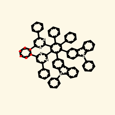 c1ccc(-c2cc(-c3ccccc3)nc(-c3c(-c4ccccc4)c(-c4ccccc4)c(-c4ccc5c(c4)c4ccccc4n5-c4ccccc4)c(-c4ccc5c(c4)c4ccccc4n5-c4ccccc4)c3-c3nc(-c4ccccc4)cc(-c4ccccc4)n3)n2)cc1